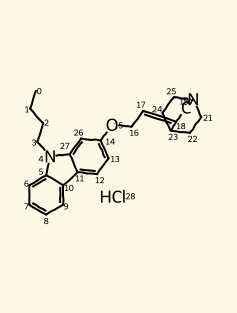 CCCCn1c2ccccc2c2ccc(OCC=C3CN4CCC3CC4)cc21.Cl